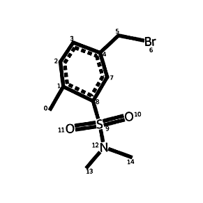 Cc1ccc(CBr)cc1S(=O)(=O)N(C)C